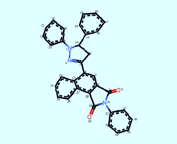 O=C1c2cc(C3=NN(c4ccccc4)C(c4ccccc4)C3)c3ccccc3c2C(=O)N1c1ccccc1